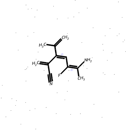 C=C(C)/C(=C/C(F)=C(/C)N)C(=C)C#N